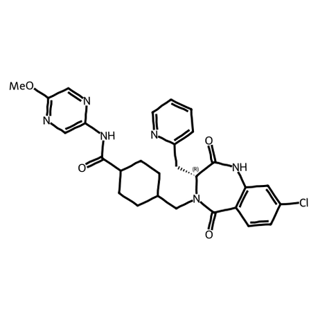 COc1cnc(NC(=O)C2CCC(CN3C(=O)c4ccc(Cl)cc4NC(=O)[C@H]3Cc3ccccn3)CC2)cn1